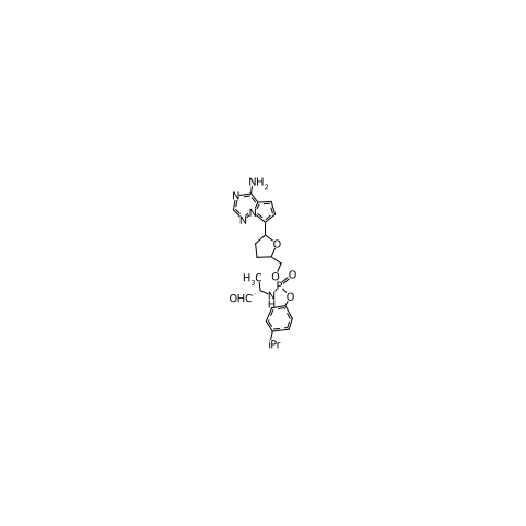 CC(C)c1ccc(OP(=O)(N[C@@H](C)C=O)OCC2CCC(c3ccc4c(N)ncnn34)O2)cc1